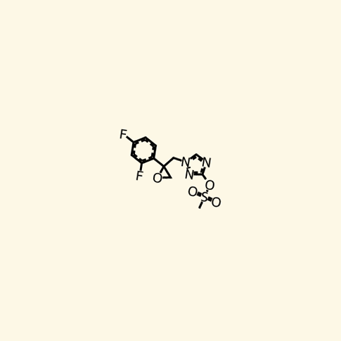 CS(=O)(=O)Oc1ncn(CC2(c3ccc(F)cc3F)CO2)n1